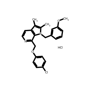 COc1cccc(Cn2c(C)c(C)c3ccnc(COc4ccc(Cl)cc4)c32)c1.Cl